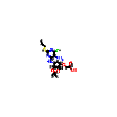 CCCSc1nc(Cl)c(N)c(N[C@@H]2C[C@H](OCC(=O)O)[C@H]3OC(C)(C)O[C@H]32)n1